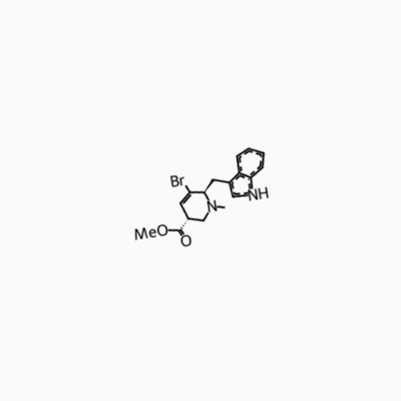 COC(=O)[C@@H]1C=C(Br)[C@@H](Cc2c[nH]c3ccccc23)N(C)C1